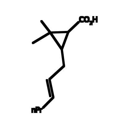 CCCC=CCC1C(C(=O)O)C1(C)C